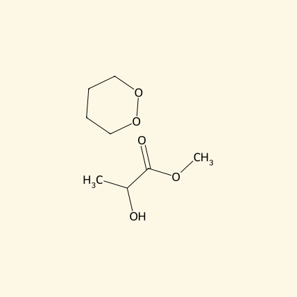 C1CCOOC1.COC(=O)C(C)O